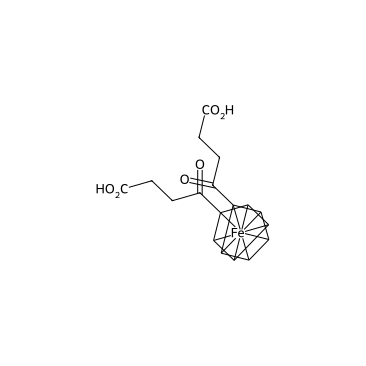 O=C(O)CCC(=O)[C]12[CH]3[CH]4[CH]5[CH]1[Fe]45321678[CH]2[CH]1[CH]6[C]7(C(=O)CCC(=O)O)[CH]28